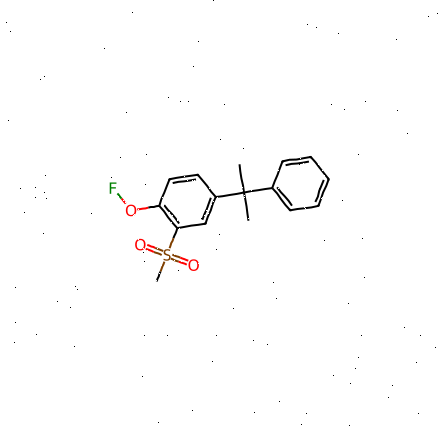 CC(C)(c1ccccc1)c1ccc(OF)c(S(C)(=O)=O)c1